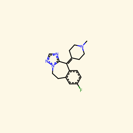 CN1CCC(=C2c3ccc(F)cc3CCn3ncnc32)CC1